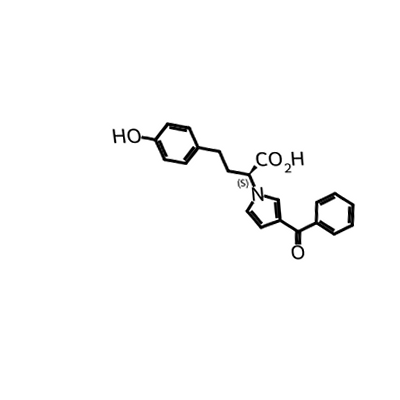 O=C(c1ccccc1)c1ccn([C@@H](CCc2ccc(O)cc2)C(=O)O)c1